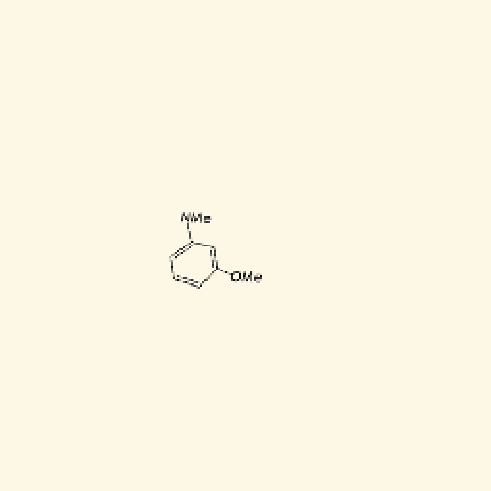 [CH2]Oc1cccc(NC)c1